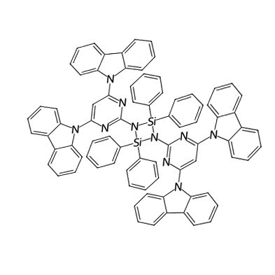 c1ccc([Si]2(c3ccccc3)N(c3nc(-n4c5ccccc5c5ccccc54)cc(-n4c5ccccc5c5ccccc54)n3)[Si](c3ccccc3)(c3ccccc3)N2c2nc(-n3c4ccccc4c4ccccc43)cc(-n3c4ccccc4c4ccccc43)n2)cc1